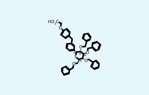 O=C(O)COc1ccc(Cc2cccc([C@@H]3S[C@H](COCc4ccccc4)[C@@H](OCc4ccccc4)[C@H](OCc4ccccc4)[C@H]3OCc3ccccc3)c2)cc1